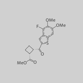 COC(=O)[C@@H]1CC[C@@H]1C(=O)c1cc2c(F)c(OC)c(OC)cc2s1